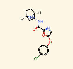 O=C(N[C@@H]1C[C@H]2CC[C@@H]1N2)c1ncc(Oc2ccc(Cl)cc2)o1